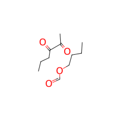 CCCC(=O)C(C)=O.CCCCOC=O